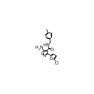 Cc1ccc(CNC(=O)c2c(-c3ccc(Cl)o3)noc2N)cc1